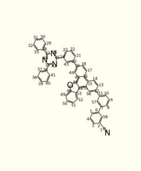 N#Cc1cccc(-c2cccc(-c3ccc4c5ccc(-c6cccc(-c7nc(-c8ccccc8)nc(-c8ccccc8)n7)c6)cc5c5oc6ccccc6c5c4c3)c2)c1